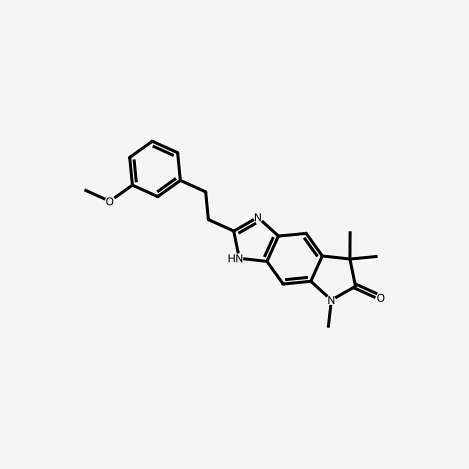 COc1cccc(CCc2nc3cc4c(cc3[nH]2)N(C)C(=O)C4(C)C)c1